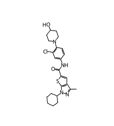 Cc1nn(C2CCCCC2)c2sc(C(=O)Nc3ccc(N4CCC(O)CC4)c(Cl)c3)cc12